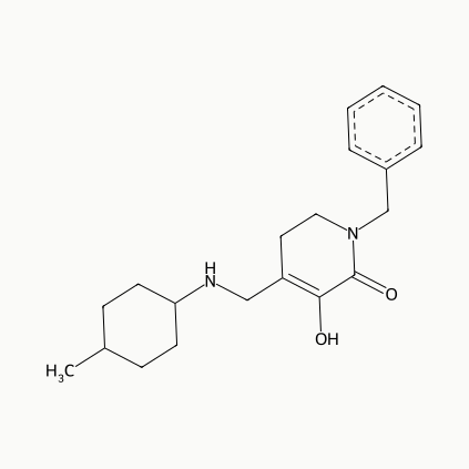 CC1CCC(NCC2=C(O)C(=O)N(Cc3ccccc3)CC2)CC1